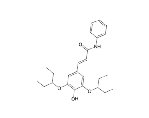 CCC(CC)Oc1cc(C=CC(=O)Nc2ccccc2)cc(OC(CC)CC)c1O